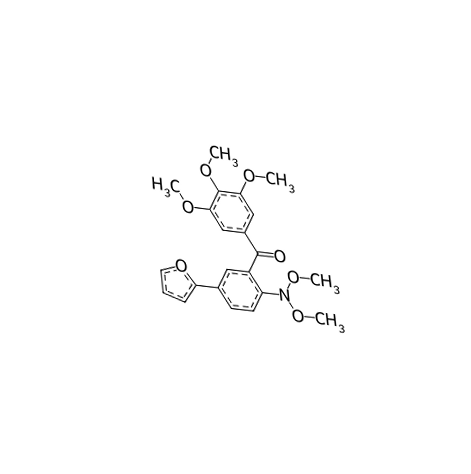 COc1cc(C(=O)c2cc(-c3ccco3)ccc2N(OC)OC)cc(OC)c1OC